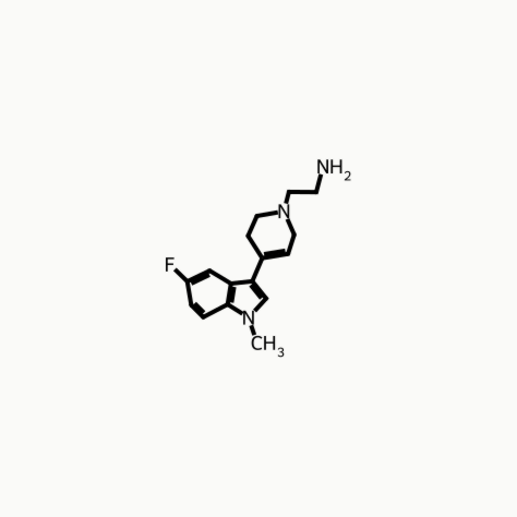 Cn1cc(C2=CCN(CCN)CC2)c2cc(F)ccc21